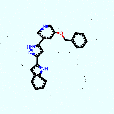 c1ccc(COc2cncc(-c3cc(-c4cc5ccccc5[nH]4)n[nH]3)c2)cc1